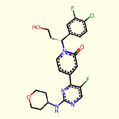 O=c1cc(-c2nc(NC3CCOCC3)ncc2F)ccn1[C@H](CCO)c1ccc(Cl)c(F)c1